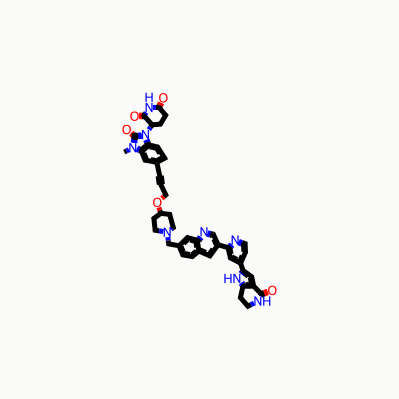 Cn1c(=O)n(C2CCC(=O)NC2=O)c2ccc(C#CCOC3CCN(Cc4ccc5cc(-c6cc(-c7cc8c([nH]7)CCNC8=O)ccn6)cnc5c4)CC3)cc21